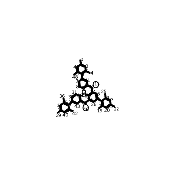 Cc1cc(C)c(-c2ccc3c(c2)C(=O)c2cc(-c4c(C)cc(C)cc4C)cc4c2B3c2ccc(-c3c(C)cc(C)cc3C)cc2C4=O)c(C)c1